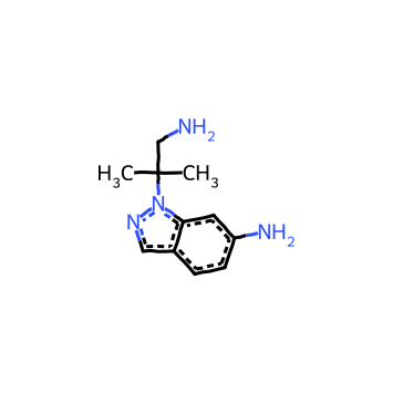 CC(C)(CN)n1ncc2ccc(N)cc21